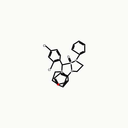 O=P1(C(c2ccc(Cl)cc2Cl)N2CCCCC2)N(c2ccccc2)CCN1c1ccccc1